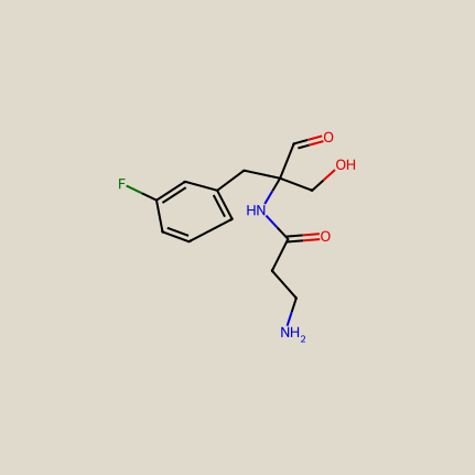 NCCC(=O)NC(C=O)(CO)Cc1cccc(F)c1